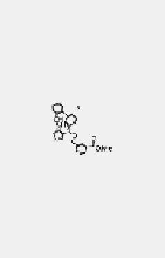 COC(=O)c1cccc(COC(c2ccc(C#N)c(-c3ccccc3C)c2)c2cncn2C)c1